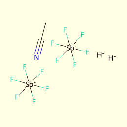 CC#N.[F][Sb-]([F])([F])([F])([F])[F].[F][Sb-]([F])([F])([F])([F])[F].[H+].[H+]